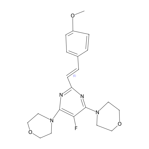 COc1ccc(/C=C/c2nc(N3CCOCC3)c(F)c(N3CCOCC3)n2)cc1